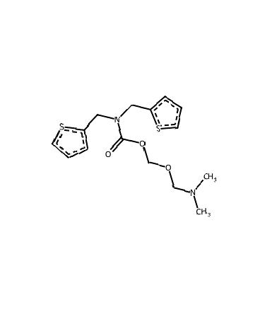 CN(C)COCOC(=O)N(Cc1cccs1)Cc1cccs1